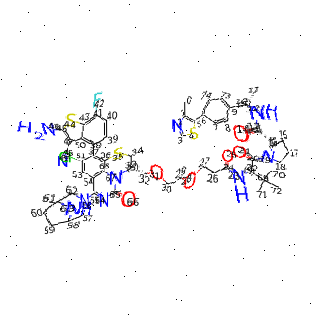 Cc1ncsc1-c1ccc([C@H](C)NC(=O)[C@@H]2CCCN2C(=O)[C@@H](NC(=O)CCOCCOC[C@H]2CSc3c(-c4ccc(F)c5sc(N)c(C#N)c45)c(Cl)cc4c(N5CC6CCC(C5)N6)nc(=O)n2c34)C(C)(C)C)cc1